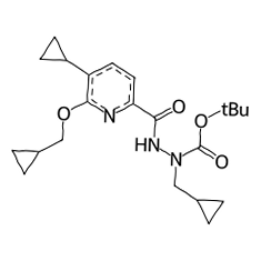 CC(C)(C)OC(=O)N(CC1CC1)NC(=O)c1ccc(C2CC2)c(OCC2CC2)n1